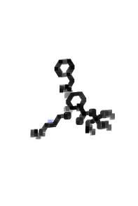 C/C=C/CO[C@@H]1C[C@H](NCc2ccccc2)CCN1C(=O)OC(C)(C)C